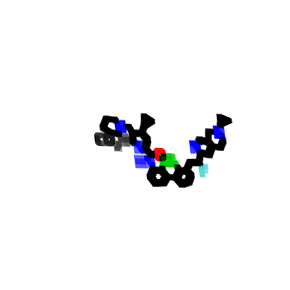 O=C(Nc1cccc(-c2cccc(/C=C(\F)c3cc4c(cn3)CN(C3CC3)CC4)c2Cl)c1Cl)c1cc(C2CC2)c(CN2CCCC[C@H]2C(=O)O)cn1